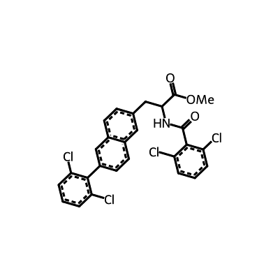 COC(=O)C(Cc1ccc2cc(-c3c(Cl)cccc3Cl)ccc2c1)NC(=O)c1c(Cl)cccc1Cl